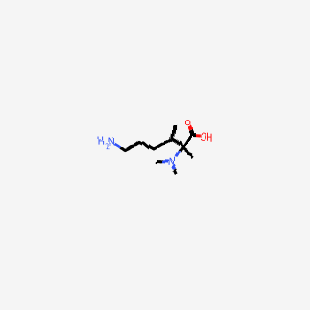 CC(CCCN)C(C)(C(=O)O)N(C)C